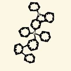 c1ccc(-c2ccccc2-c2cccc([Si](c3ccccc3)(c3ccccc3)c3ccc4c(c3)c3ccccc3n4-c3ccccc3)c2)cc1